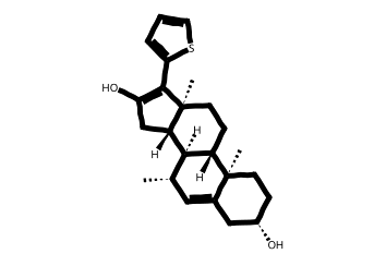 C[C@H]1C=C2C[C@@H](O)CC[C@]2(C)[C@H]2CC[C@]3(C)C(c4cccs4)=C(O)C[C@H]3[C@H]12